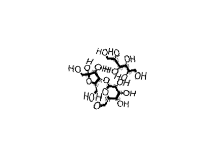 OC[C@@H](O)[C@@H](O)[C@H](O)[C@@H](O)CO.OC[C@H]1O[C@@H](O[C@@H]2[C@@H](CO)O[C@](O)(CO)[C@H]2O)[C@H](O)[C@@H](O)[C@H]1O